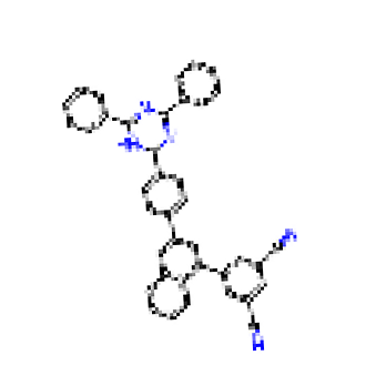 N#Cc1cc(C#N)cc(-c2cc(-c3ccc(C4N=C(c5ccccc5)N=C(c5ccccc5)N4)cc3)cc3ccccc23)c1